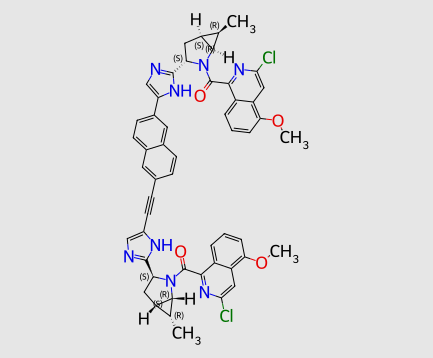 COc1cccc2c(C(=O)N3[C@@H]4[C@H](C)[C@@H]4C[C@H]3c3ncc(C#Cc4ccc5cc(-c6cnc([C@@H]7C[C@H]8[C@@H](C)[C@H]8N7C(=O)c7nc(Cl)cc8c(OC)cccc78)[nH]6)ccc5c4)[nH]3)nc(Cl)cc12